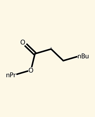 CCCCC[CH]C(=O)OCCC